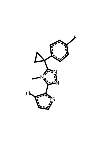 Cn1c(-c2sccc2Cl)nnc1C1(c2ccc(F)cc2)CC1